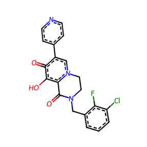 O=C1c2c(O)c(=O)c(-c3ccncc3)cn2CCN1Cc1cccc(Cl)c1F